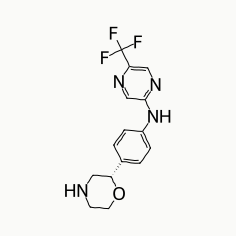 FC(F)(F)c1cnc(Nc2ccc([C@H]3CNCCO3)cc2)cn1